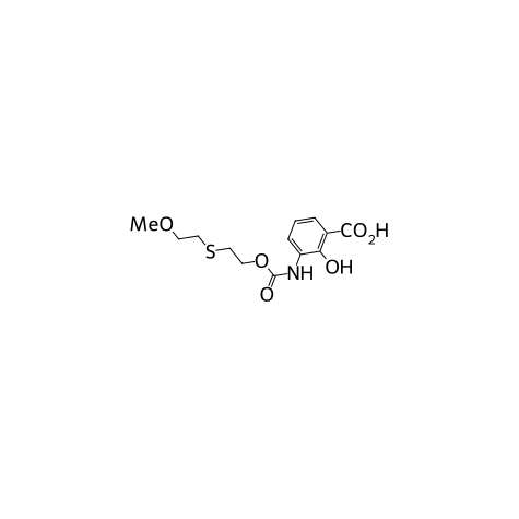 COCCSCCOC(=O)Nc1cccc(C(=O)O)c1O